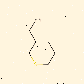 [CH2]CCCC1CCCSC1